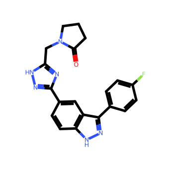 O=C1CCCN1Cc1nc(-c2ccc3[nH]nc(-c4ccc(F)cc4)c3c2)n[nH]1